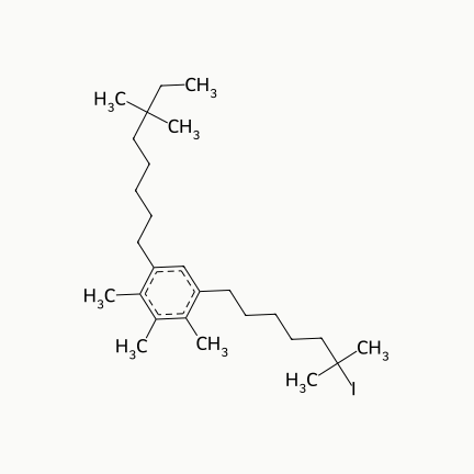 CCC(C)(C)CCCCCc1cc(CCCCCC(C)(C)I)c(C)c(C)c1C